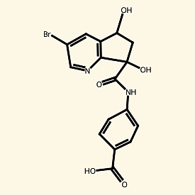 O=C(O)c1ccc(NC(=O)C2(O)CC(O)c3cc(Br)cnc32)cc1